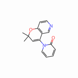 CC1(C)C=C(n2ccccc2=O)c2cnccc2O1